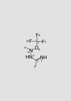 CC(=N)NN(C)OC(F)(F)F